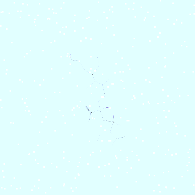 C=C(C)[C@](I)(CCC(C)C(C)C(CC)CCCI)CC(C)(I)[C@@H](CC)C(C)C